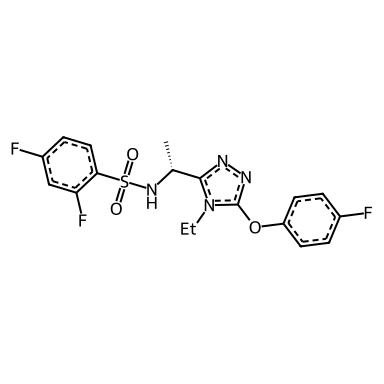 CCn1c(Oc2ccc(F)cc2)nnc1[C@@H](C)NS(=O)(=O)c1ccc(F)cc1F